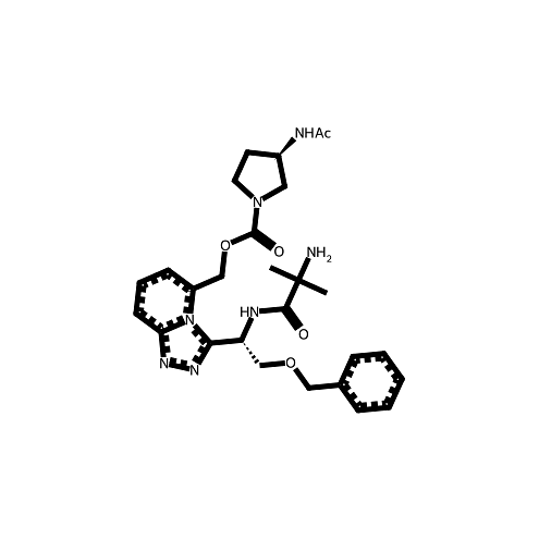 CC(=O)N[C@@H]1CCN(C(=O)OCc2cccc3nnc([C@@H](COCc4ccccc4)NC(=O)C(C)(C)N)n23)C1